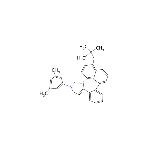 Cc1cc(C)cc(N2C=C3C(=CC2)c2ccccc2-c2cccc4c(CC(C)(C)C)ccc3c24)c1